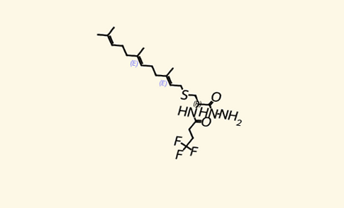 CC(C)=CCC/C(C)=C/CC/C(C)=C/CSC[C@H](NC(=O)CCC(F)(F)F)C(=O)NN